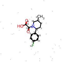 CC1CCC(c2ccc(F)cc2)N(C(=O)C(=O)O)C1